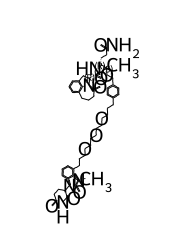 C[C@H](OCc1ccc(CCCOCCOCCOCCCc2cccc3c2n(C)c(=O)n3C2CCC(=O)NC2=O)cc1)[C@@H](CCC(N)=O)NC(=O)[C@H]1Cc2cccc3c2N1C(=O)CCC3